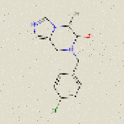 CC(C)C1C(=O)N(Cc2ccc(Cl)cc2)Cc2cncn21